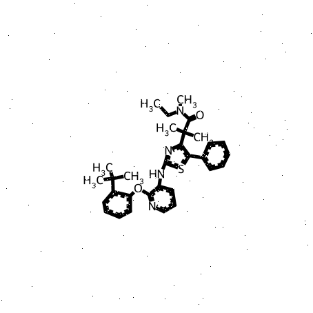 CCN(C)C(=O)C(C)(C)c1nc(Nc2cccnc2Oc2ccccc2C(C)(C)C)sc1-c1ccccc1